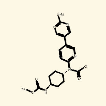 COc1ncc(-c2ccc(N(C(=O)Cl)[C@H]3CC[C@H](NC(=O)OC(C)(C)C)CC3)nc2)cn1